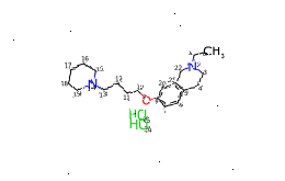 CCN1CCc2ccc(OCCCCN3CCCCC3)cc2C1.Cl.Cl